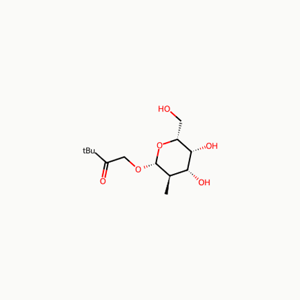 C[C@H]1[C@H](OCC(=O)C(C)(C)C)O[C@H](CO)[C@H](O)[C@@H]1O